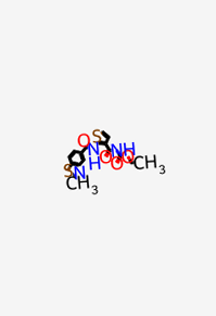 CCOC(=O)NC(=O)c1ccsc1NC(=O)c1ccc2sc(C)nc2c1